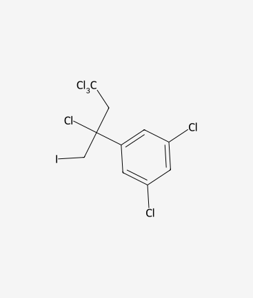 Clc1cc(Cl)cc(C(Cl)(CI)CC(Cl)(Cl)Cl)c1